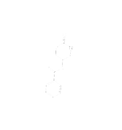 O=C1NCC(SC(=O)c2ccccc2)CO1